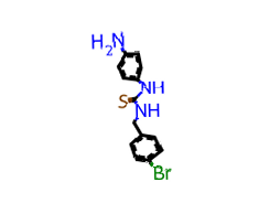 Nc1ccc(NC(=S)NCc2ccc(Br)cc2)cc1